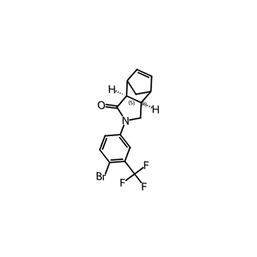 O=C1[C@H]2C3C=CC(C3)[C@H]2CN1c1ccc(Br)c(C(F)(F)F)c1